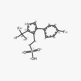 O=S(=O)(O)CCc1c(-c2ccc(F)cc2)csc1C(F)(F)F